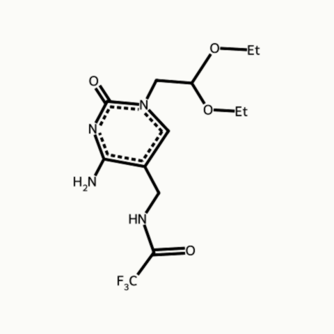 CCOC(Cn1cc(CNC(=O)C(F)(F)F)c(N)nc1=O)OCC